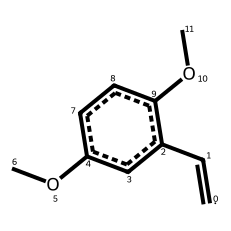 [CH]=Cc1cc(OC)ccc1OC